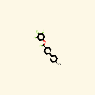 CCC[C@H]1CC[C@H]([C@H]2CC[C@H](C(F)OC3CC(F)C(F)C(F)C3)CC2)CC1